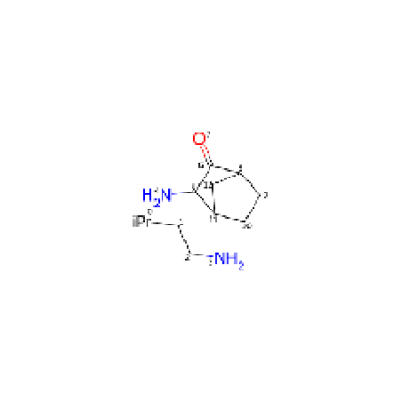 CC(C)CCN.NC1C(=O)C2CCC1C2